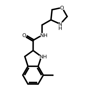 Cc1cccc2c1NC(C(=O)NCC1COCN1)C2